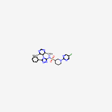 COc1ncnc(OC)c1-n1c(NS(=O)(=O)C2CCCN(c3ncc(F)cn3)C2)nnc1-c1ccccc1